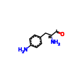 Nc1ccc(C[C@@H](N)[C]=O)cc1